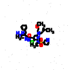 COCCN(CC1CC1C)c1cc(-c2nnc(C(C)(N)Cc3ccccc3)o2)c(Cl)c(N(C)S(=O)(=O)c2cccnc2)n1